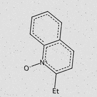 CCc1ccc2ccccc2[n+]1[O-]